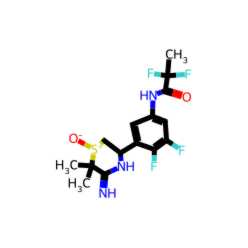 CC(F)(F)C(=O)Nc1cc(F)c(F)c(C2C[S+]([O-])C(C)(C)C(=N)N2)c1